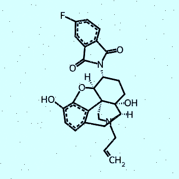 C=CCN1CC[C@]23c4c5ccc(O)c4O[C@H]2[C@H](N2C(=O)c4ccc(F)cc4C2=O)CC[C@@]3(O)[C@H]1C5